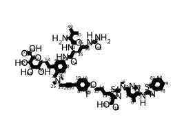 Cc1cc(N(C)c2nc(C(=O)O)c(CCCOc3ccc(C#CC[N+](C)(C)Cc4ccc(NC(=O)[C@H](CCCNC(N)=O)NC(=O)[C@@H](N)C(C)C)cc4CC[C@@H]4O[C@H](C(=O)O)[C@@H](O)[C@H](O)[C@H]4O)cc3F)s2)nnc1Nc1nc2ccccc2s1